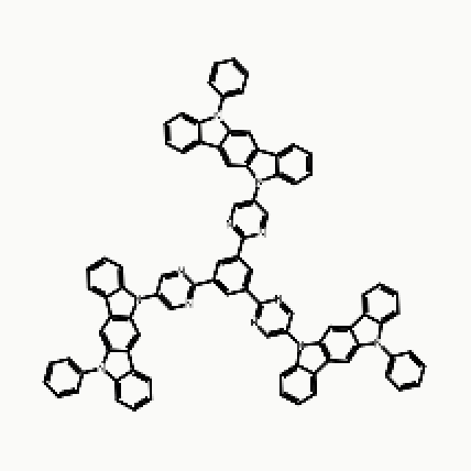 c1ccc(-n2c3ccccc3c3cc4c(cc32)c2ccccc2n4-c2cnc(-c3cc(-c4ncc(-n5c6ccccc6c6cc7c(cc65)c5ccccc5n7-c5ccccc5)cn4)cc(-c4ncc(-n5c6ccccc6c6cc7c(cc65)c5ccccc5n7-c5ccccc5)cn4)c3)nc2)cc1